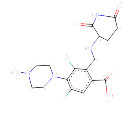 CN1CCN(c2c(F)cc(C(=O)O)c(CNC3CCC(=O)NC3=O)c2F)CC1